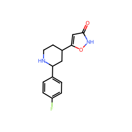 O=c1cc(C2CCNC(c3ccc(F)cc3)C2)o[nH]1